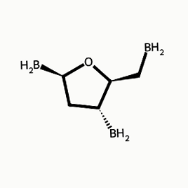 BC[C@@H]1O[C@H](B)C[C@H]1B